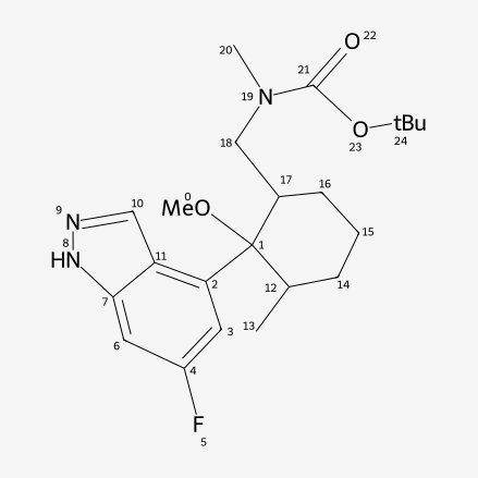 COC1(c2cc(F)cc3[nH]ncc23)C(C)CCCC1CN(C)C(=O)OC(C)(C)C